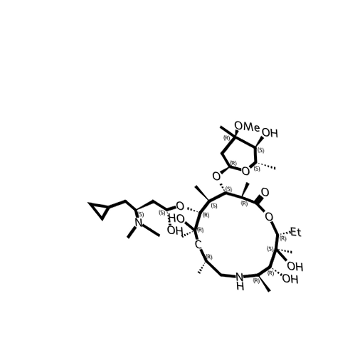 CC[C@H]1OC(=O)[C@H](C)[C@@H](O[C@H]2C[C@@](C)(OC)[C@@H](O)[C@H](C)O2)[C@H](C)[C@@H](O[C@H](O)C[C@H](CC2CC2)N(C)C)[C@](C)(O)C[C@@H](C)CN[C@H](C)[C@@H](O)[C@]1(C)O